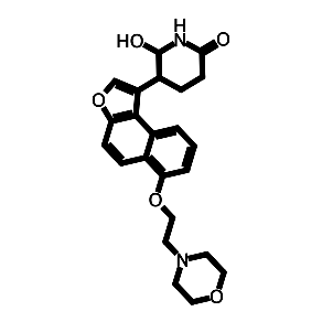 O=C1CCC(c2coc3ccc4c(OCCN5CCOCC5)cccc4c23)C(O)N1